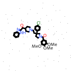 COc1cc(C(=O)N2CCC(CCN3CCC(C(=O)c4nc5ccccc5[nH]4)CC3)(c3ccc(Cl)cc3)C2)cc(OC)c1OC